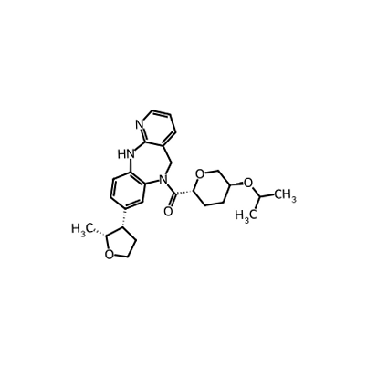 CC(C)O[C@H]1CC[C@H](C(=O)N2Cc3cccnc3Nc3ccc([C@@H]4CCO[C@@H]4C)cc32)OC1